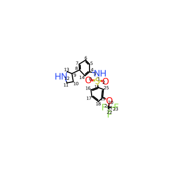 O=S(=O)(Nc1cccc(C2CCNC2)c1)c1cccc(OC(F)(F)F)c1